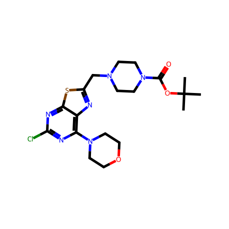 CC(C)(C)OC(=O)N1CCN(Cc2nc3c(N4CCOCC4)nc(Cl)nc3s2)CC1